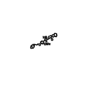 COc1cc(OCCCN2CCOCC2)ccc1-c1csc(CCC(=O)C2(CC(=O)O)Cc3ccccc3C2)n1